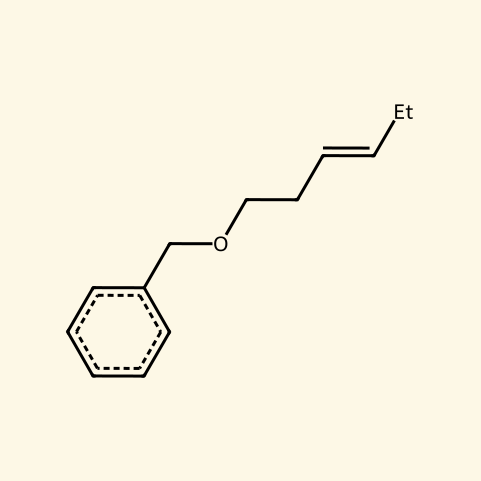 CC/C=C/CCOCc1ccccc1